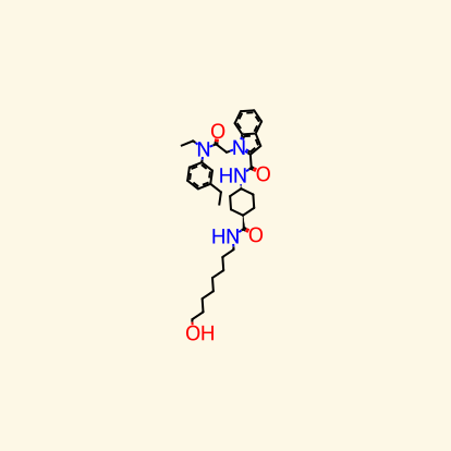 CCc1cccc(N(CC)C(=O)Cn2c(C(=O)N[C@H]3CC[C@H](C(=O)NCCCCCCCCO)CC3)cc3ccccc32)c1